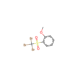 COc1ccccc1S(=O)(=O)C(Br)(Br)Br